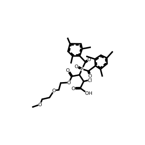 COCCOCCOC(=O)C(C(Cl)C(=O)O)P(=O)(C(=O)c1c(C)cc(C)cc1C)C(=O)c1c(C)cc(C)cc1C